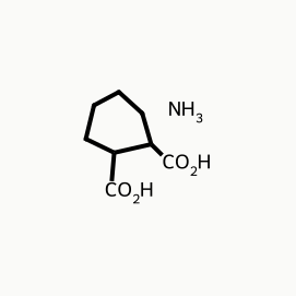 N.O=C(O)C1CCCCC1C(=O)O